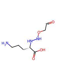 NCCC[C@H](NNOC[C]=O)C(=O)O